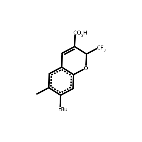 Cc1cc2c(cc1C(C)(C)C)OC(C(F)(F)F)C(C(=O)O)=C2